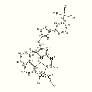 CCOC(=O)C1=C(C)N=c2s/c(=C\c3ccc(-c4cccc(C(F)(F)F)c4)o3)c(=O)n2C1c1c(OC)ccc2ccccc12